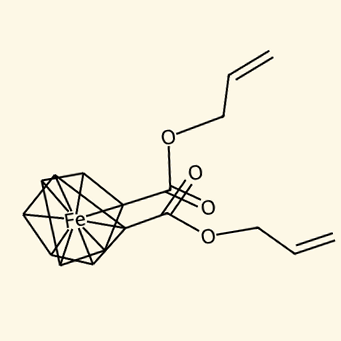 C=CCOC(=O)[C]12[CH]3[CH]4[CH]5[CH]1[Fe]45321678[CH]2[CH]1[CH]6[C]7(C(=O)OCC=C)[CH]28